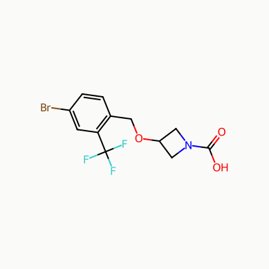 O=C(O)N1CC(OCc2ccc(Br)cc2C(F)(F)F)C1